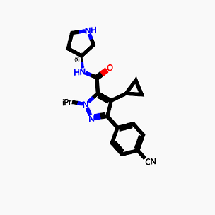 CC(C)n1nc(-c2ccc(C#N)cc2)c(C2CC2)c1C(=O)N[C@H]1CCNC1